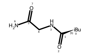 CC[C@H](C)C(=O)NCC(N)=O